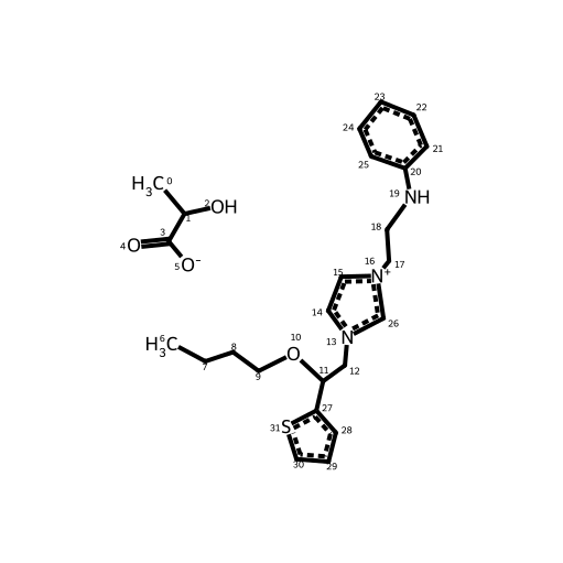 CC(O)C(=O)[O-].CCCCOC(Cn1cc[n+](CCNc2ccccc2)c1)c1cccs1